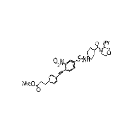 COC(=O)CCc1ccc(C#Cc2ccc(SNC3CCC(C(=O)N4CCOCC4C(C)C)CC3)cc2[N+](=O)[O-])cc1